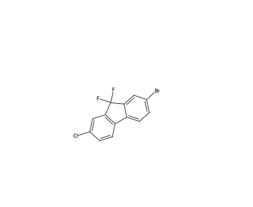 FC1(F)c2cc(Cl)ccc2-c2ccc(Br)cc21